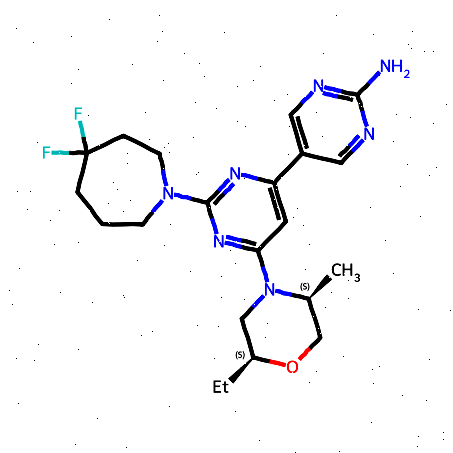 CC[C@H]1CN(c2cc(-c3cnc(N)nc3)nc(N3CCCC(F)(F)CC3)n2)[C@@H](C)CO1